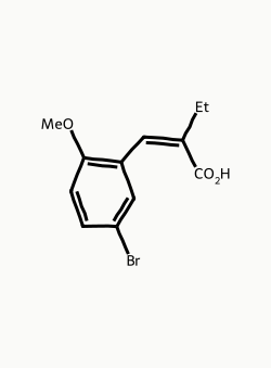 CCC(=Cc1cc(Br)ccc1OC)C(=O)O